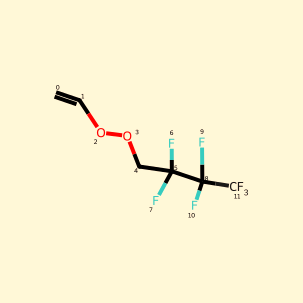 C=COOCC(F)(F)C(F)(F)C(F)(F)F